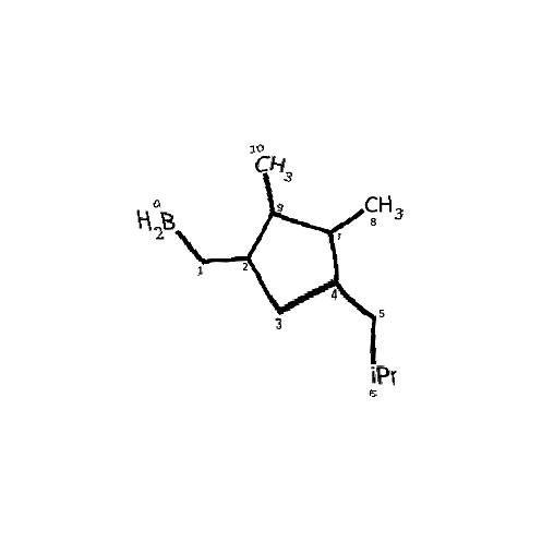 BCC1CC(CC(C)C)C(C)C1C